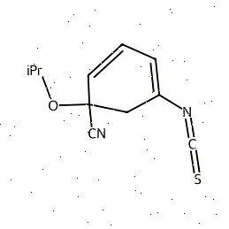 CC(C)OC1(C#N)C=CC=C(N=C=S)C1